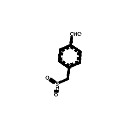 O=[C]c1ccc(C[SH](=O)=O)cc1